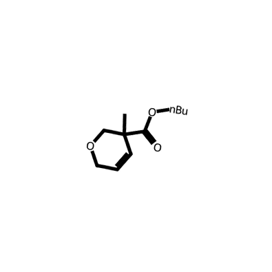 CCCCOC(=O)C1(C)C=CCOC1